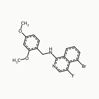 COc1ccc(CNc2ncc(F)c3c(Br)cccc23)c(OC)c1